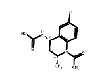 CC(=O)N1c2ccc(Br)cc2[C@@H](NC(=O)O)C[C@H]1C